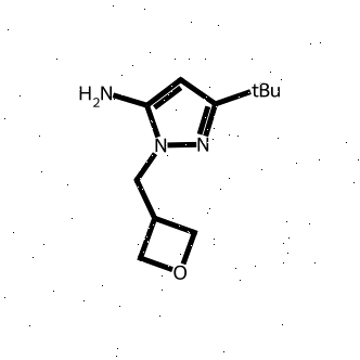 CC(C)(C)c1cc(N)n(CC2COC2)n1